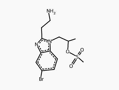 CC(Cn1c(CCN)nc2cc(Br)ccc21)OS(C)(=O)=O